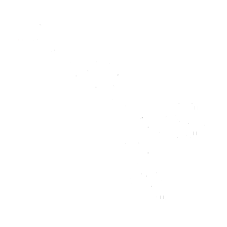 CC(C)(C)[Si](C)(C)OCc1ccc(C#Cc2cccc(CCCCCC(=O)O)c2)cc1CO[Si](C)(C)C(C)(C)C